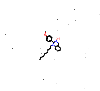 CCCCCCCCN1c2ccccc2CN(O)C1c1ccc(OC)cc1